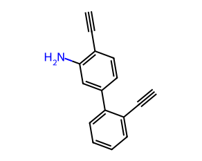 C#Cc1ccc(-c2ccccc2C#C)cc1N